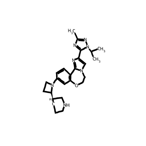 Cc1nc(-c2cn3c(n2)-c2ccc(N4CCC4[C@@H]4CCCNC4)cc2OCC3)n(C(C)C)n1